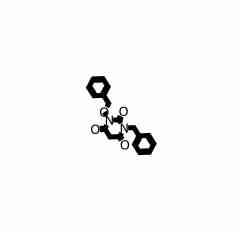 O=C1CC(=O)N(OCc2ccccc2)C(=O)N1Cc1ccccc1